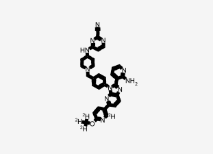 [2H]c1nc(OC([2H])([2H])[2H])ccc1-c1ccc2nc(-c3cccnc3N)n(-c3ccc(CN4CCC(Nc5ccnc(C#N)n5)CC4)cc3)c2n1